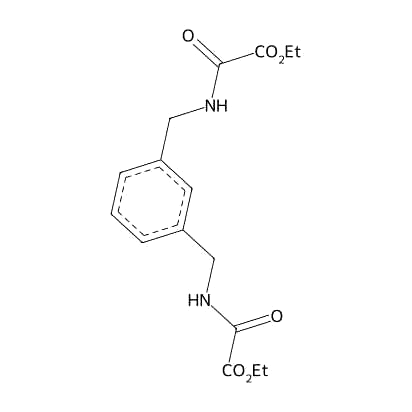 CCOC(=O)C(=O)NCc1cccc(CNC(=O)C(=O)OCC)c1